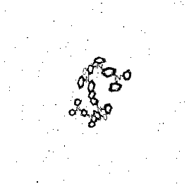 c1ccc(N(c2ccccc2)c2ccc(-n3c4ccccc4c4cc5c(cc43)N(c3ccc4cc6cc(N7c8ccccc8Oc8cc9c%10ccccc%10n(-c%10ccc(N(c%11ccccc%11)c%11ccccc%11)cc%10)c9cc87)ccc6cc4c3)c3ccccc3O5)cc2)cc1